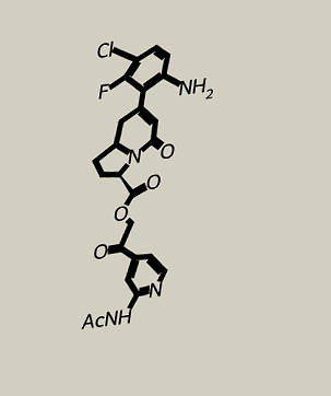 CC(=O)Nc1cc(C(=O)COC(=O)[C@H]2CCC3CC(c4c(N)ccc(Cl)c4F)=CC(=O)N32)ccn1